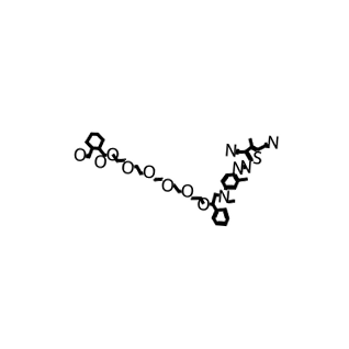 CCN(CC(OCCOCCOCCOCCOCCOC(=O)C1CCCCC1C=O)c1ccccc1)c1ccc(/N=N/c2sc(C#N)c(C)c2C#N)c(C)c1